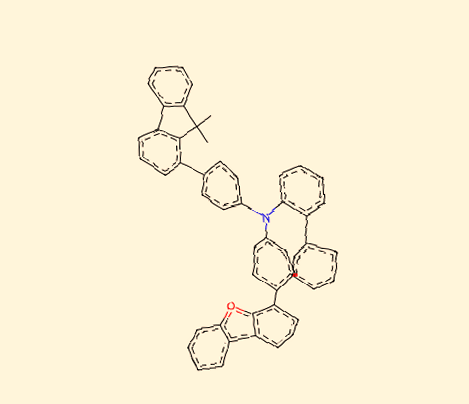 CC1(C)c2ccccc2-c2cccc(-c3ccc(N(c4ccc(-c5cccc6c5oc5ccccc56)cc4)c4ccccc4-c4ccccc4)cc3)c21